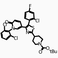 CC(C)(C)OC(=O)N1CCC(c2nc(-c3ccc(=O)n(-c4c(Cl)cccc4Cl)c3)c(-c3ccc(F)cc3Cl)s2)CC1